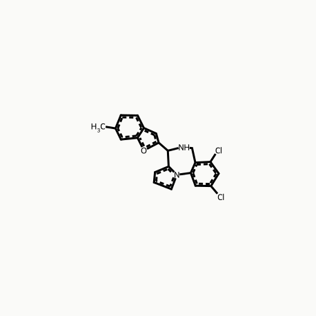 Cc1ccc2cc(C3NCc4c(Cl)cc(Cl)cc4-n4cccc43)oc2c1